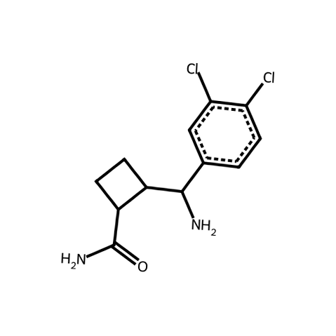 NC(=O)C1CCC1C(N)c1ccc(Cl)c(Cl)c1